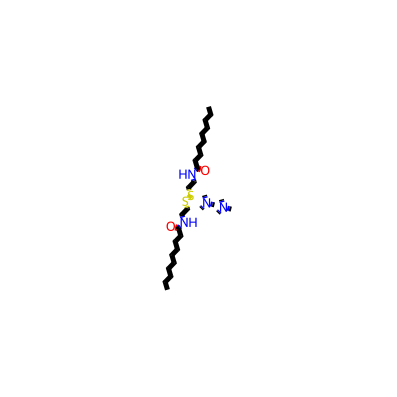 CCCCCCCCCC(=O)NCCSSCCNC(=O)CCCCCCCCC.CN(C)C.CN(C)C